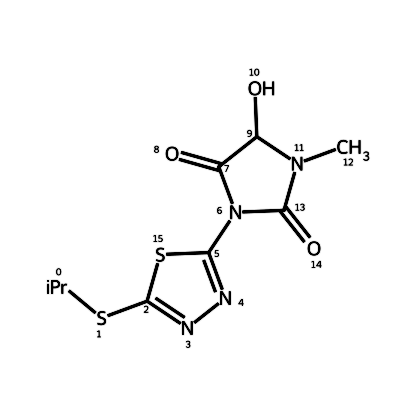 CC(C)Sc1nnc(N2C(=O)C(O)N(C)C2=O)s1